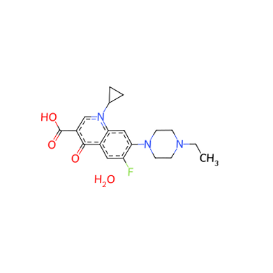 CCN1CCN(c2cc3c(cc2F)c(=O)c(C(=O)O)cn3C2CC2)CC1.O